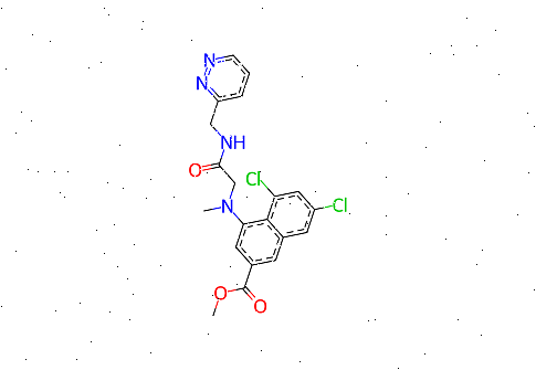 COC(=O)c1cc(N(C)CC(=O)NCc2cccnn2)c2c(Cl)cc(Cl)cc2c1